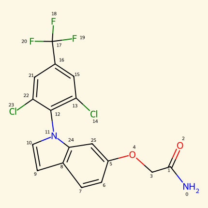 NC(=O)COc1ccc2ccn(-c3c(Cl)cc(C(F)(F)F)cc3Cl)c2c1